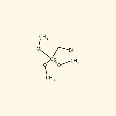 C[O][Ge]([CH2]Br)([O]C)[O]C